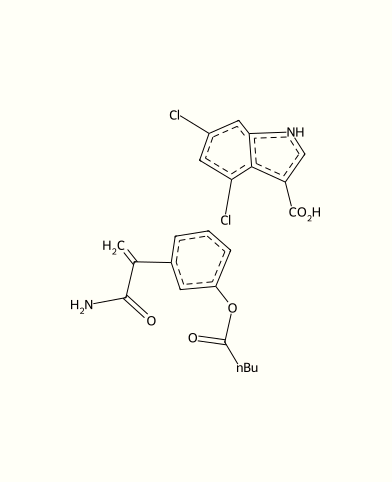 C=C(C(N)=O)c1cccc(OC(=O)CCCC)c1.O=C(O)c1c[nH]c2cc(Cl)cc(Cl)c12